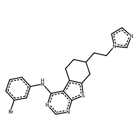 Brc1cccc(Nc2ncnc3sc4c(c23)CCC(CCn2ccnc2)C4)c1